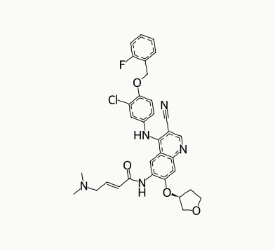 CN(C)CC=CC(=O)Nc1cc2c(Nc3ccc(OCc4ccccc4F)c(Cl)c3)c(C#N)cnc2cc1O[C@H]1CCOC1